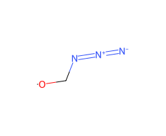 [N-]=[N+]=NC[O]